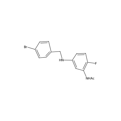 CC(=O)Nc1cc(NCc2ccc(Br)cc2)ccc1F